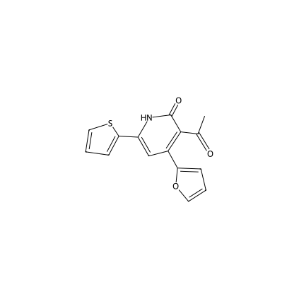 CC(=O)c1c(-c2ccco2)cc(-c2cccs2)[nH]c1=O